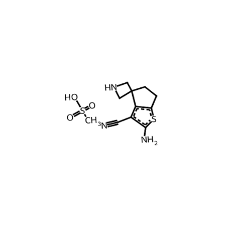 CS(=O)(=O)O.N#Cc1c(N)sc2c1C1(CC2)CNC1